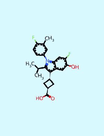 Cc1cc(-n2c(C(C)C)c([C@H]3C[C@H](C(=O)O)C3)c3cc(O)c(F)cc32)ccc1F